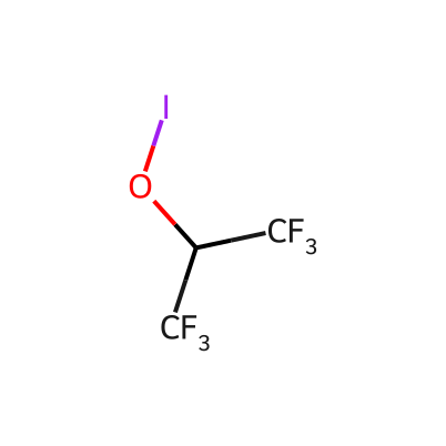 FC(F)(F)C(OI)C(F)(F)F